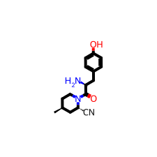 C[C@H]1CCN(C(=O)[C@@H](N)Cc2ccc(O)cc2)[C@H](C#N)C1